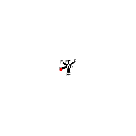 [F][Yb]([F])([F])([F])([F])([F])([F])[F]